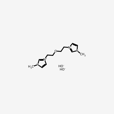 Cn1cc[n+](CCOCC[n+]2ccn(C)c2)c1.[OH-].[OH-]